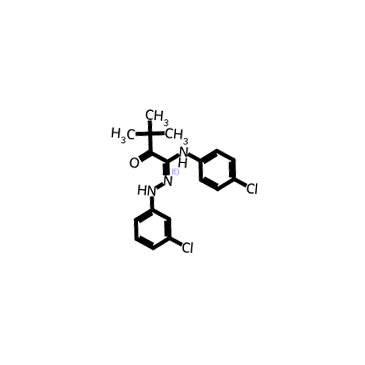 CC(C)(C)C(=O)/C(=N\Nc1cccc(Cl)c1)Nc1ccc(Cl)cc1